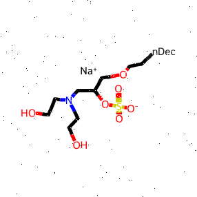 CCCCCCCCCCCCOCC(CN(CCO)CCO)OS(=O)(=O)[O-].[Na+]